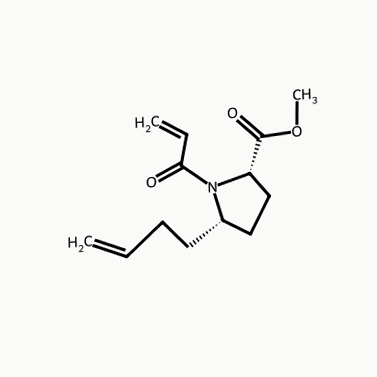 C=CCC[C@H]1CC[C@@H](C(=O)OC)N1C(=O)C=C